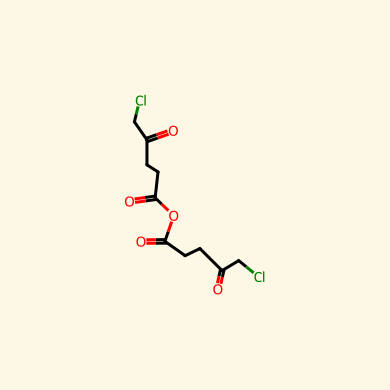 O=C(CCl)CCC(=O)OC(=O)CCC(=O)CCl